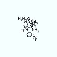 CC(C)(C)C1c2c(C(N)=O)c(-c3cccc(OC(F)(F)F)c3)c(Cl)n2CCN1C(N)=O